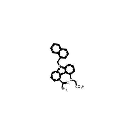 NC(=O)c1cccc2c1c1c(OCC(=O)O)cccc1n2Cc1cccc2ccccc12